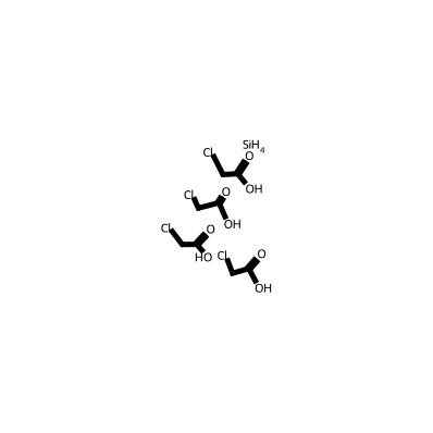 O=C(O)CCl.O=C(O)CCl.O=C(O)CCl.O=C(O)CCl.[SiH4]